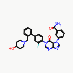 NC(=O)c1cccc(-n2cnc3ncn(-c4ccc(-c5ccccc5CN5CCC(O)CC5)cc4F)c(=O)c32)c1